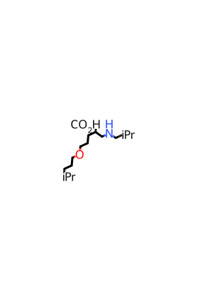 CC(C)CCCOCCCC(CNCC(C)C)C(=O)O